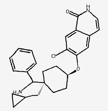 NC(c1ccccc1)[C@]1(CC2CC2)CC[C@H](Oc2cc3cc[nH]c(=O)c3cc2Cl)CC1